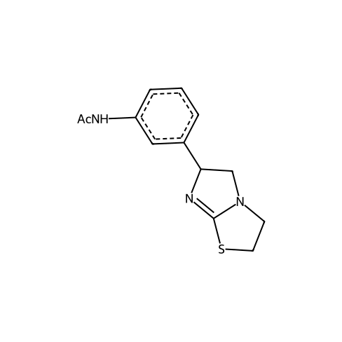 CC(=O)Nc1cccc(C2CN3CCSC3=N2)c1